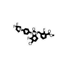 COC(=O)c1cccc(Cn2c(=O)n(-c3ccc(N4CCC(F)(F)C4)cc3)c3c(F)c(Cl)ccc32)c1F